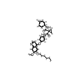 CCCCCCOc1cc2c(Oc3ccc(NC(=O)C4(C(=O)Nc5ccc(C)cc5)CC4)cc3)ccnc2cc1OC